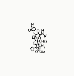 CN(C(=O)[C@H](NC(=O)C(C)(C)C)C1CCCC1)[C@@](C=O)(CN[C@@H](C[C@@H]1CCNC1=O)C(=O)C(=O)NC1CC1)CC1CCC1